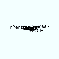 CCCCCc1ccc(N2CCN(S(=O)(=O)C3(C(=O)O)CCN(CCOC)CC3)CC2)cc1